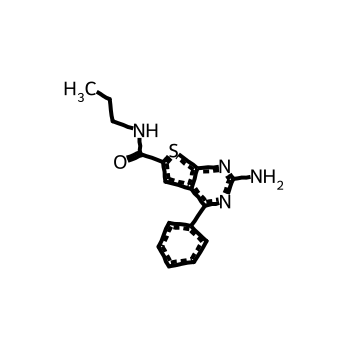 CCCNC(=O)c1cc2c(-c3ccccc3)nc(N)nc2s1